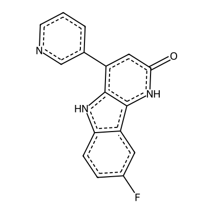 O=c1cc(-c2cccnc2)c2[nH]c3ccc(F)cc3c2[nH]1